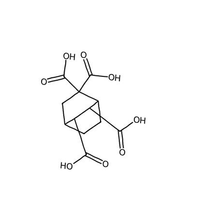 O=C(O)C1C2CCC(C1C(=O)O)C(C(=O)O)(C(=O)O)C2